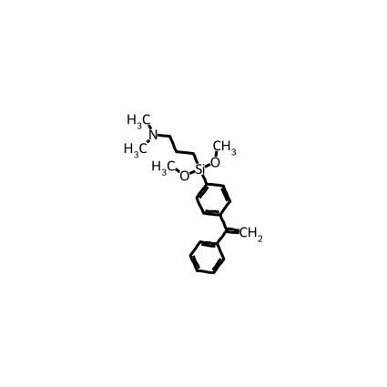 C=C(c1ccccc1)c1ccc([Si](CCCN(C)C)(OC)OC)cc1